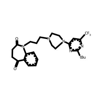 CC(C)(C)c1nc(N2CCN(CCCN3C(=O)CCC(=O)c4ccccc43)CC2)cc(C(F)(F)F)n1